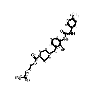 Cc1ccc(NC(=O)Nc2cccc(CN3CCN(C(=O)OCCOC(=O)C(C)(C)C)CC3)c2F)cn1